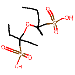 CCC(C)(OC(C)(CC)S(=O)(=O)O)S(=O)(=O)O